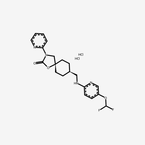 Cl.Cl.O=C1O[C@]2(CC[C@H](CNc3ccc(OC(F)F)cn3)CC2)CN1c1ccccn1